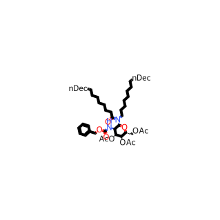 CCCCCCCCCCCCCCCCCCN(C(=O)CCCCCCCCCCCCCCCCC)[C@@H]1O[C@H](COC(C)=O)[C@H](OC(C)=O)[C@H](OC(C)=O)[C@H]1NC(=O)OCc1ccccc1